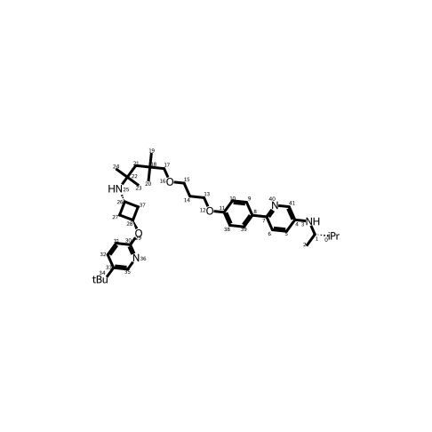 CC(C)[C@H](C)Nc1ccc(-c2ccc(OCCCOCC(C)(C)CC(C)(C)N[C@H]3C[C@H](Oc4ccc(C(C)(C)C)cn4)C3)cc2)nc1